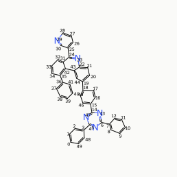 c1ccc(-c2nc(-c3ccccc3)nc(-c3ccc(-c4ccc5nc(-c6cccnc6)c6cccc(-c7ccccc7)c6c5c4)cc3)n2)cc1